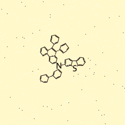 c1ccc(-c2cccc(N(c3ccc4c(c3)sc3ccccc34)c3ccc4c(c3)c(-c3ccccc3)c(-c3ccccc3)c3ccccc34)c2)cc1